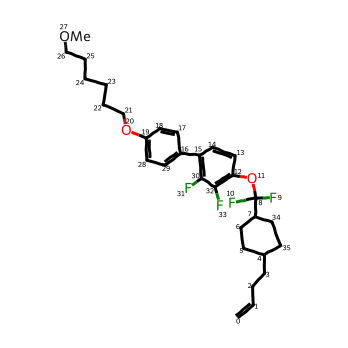 C=CCCC1CCC(C(F)(F)Oc2ccc(-c3ccc(OCCCCCCOC)cc3)c(F)c2F)CC1